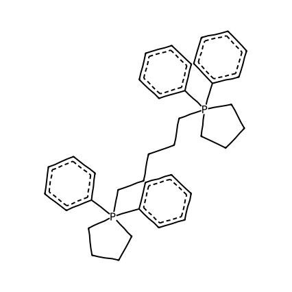 c1ccc(P2(CCCCCP3(c4ccccc4)(c4ccccc4)CCCC3)(c3ccccc3)CCCC2)cc1